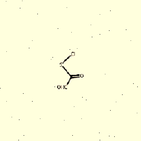 O=CC(=O)SCl